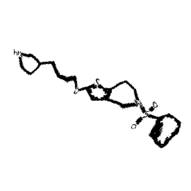 O=S(=O)(c1ccccc1)N1CCc2sc(OCCCC3CCNC3)cc2C1